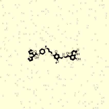 COc1cc(OCCCN(C)[C@H]2CC[C@H](OC(=O)C(O)(c3cccs3)c3cccs3)CC2)c(Cl)cc1CNC[C@H](O)c1ccc(O)c2[nH]c(=O)ccc12